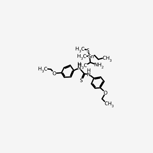 CCOc1ccc(NC(=S)Nc2ccc(OCC)cc2)cc1.CC[CH2][Sn]([CH3])([S]C)[CH](C)N